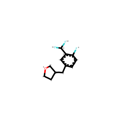 Fc1ccc([CH]C2CCOC2)cc1C(F)F